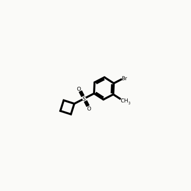 Cc1cc(S(=O)(=O)C2CCC2)ccc1Br